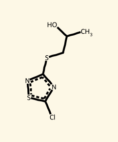 CC(O)CSc1nsc(Cl)n1